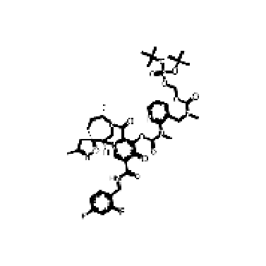 CC1=NO[C@@]2(CC[C@H](C)N3C[C@H]2n2cc(C(=O)NCc4ccc(F)cc4F)c(=O)c(OC(=O)N(C)c4ncccc4CN(C)C(=O)OCOP(=O)(OC(C)(C)C)OC(C)(C)C)c2C3=O)C1